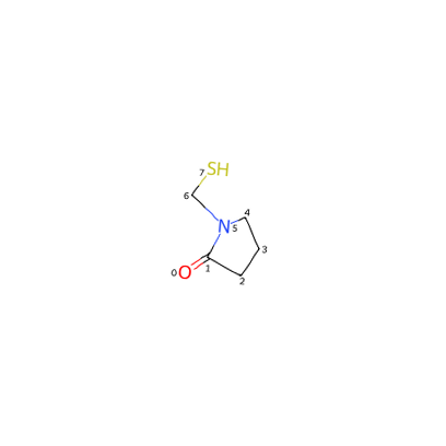 O=C1CCCN1CS